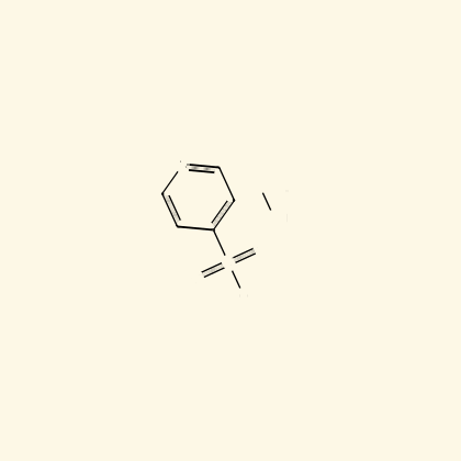 CC.O=S(=O)([O-])c1ccncc1.[K+]